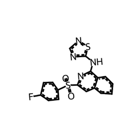 O=S(=O)(c1ccc(F)cc1)c1cc2ccccc2c(Nc2ncns2)n1